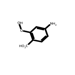 Nc1ccc(C(=O)O)c(OO)c1